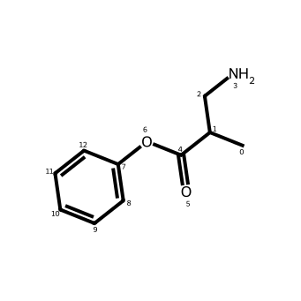 CC(CN)C(=O)Oc1ccccc1